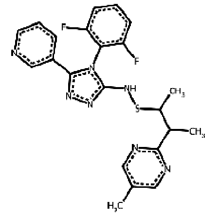 Cc1cnc(C(C)C(C)SNc2nnc(-c3cccnc3)n2-c2c(F)cccc2F)nc1